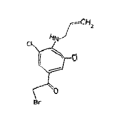 C=CCNc1c(Cl)cc(C(=O)CBr)cc1Cl